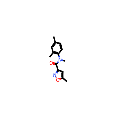 Cc1ccc(N(C)C(=O)c2cc(C)on2)c(C)c1